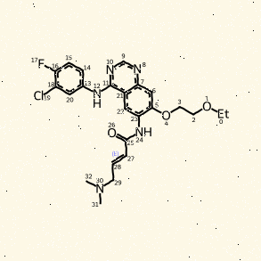 CCOCCOc1cc2ncnc(Nc3ccc(F)c(Cl)c3)c2cc1NC(=O)/C=C/CN(C)C